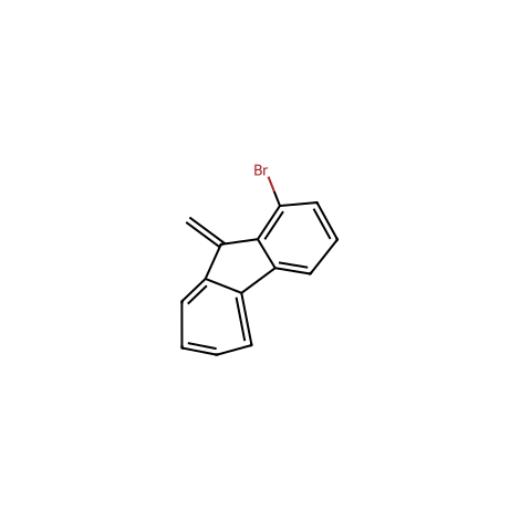 C=C1c2ccccc2-c2cccc(Br)c21